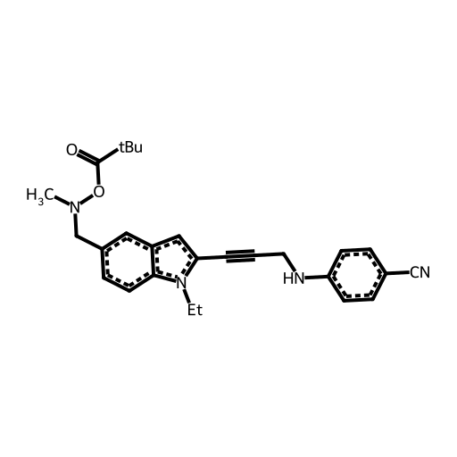 CCn1c(C#CCNc2ccc(C#N)cc2)cc2cc(CN(C)OC(=O)C(C)(C)C)ccc21